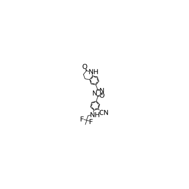 CC(F)(F)CNc1ccc(-c2nc(-c3ccc4c(c3)CCC(=O)N4)no2)cc1C#N